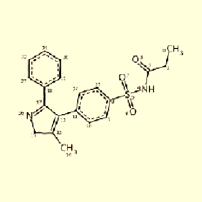 CCC(=O)NS(=O)(=O)c1ccc(C2=C(C)CN=C2c2ccccc2)cc1